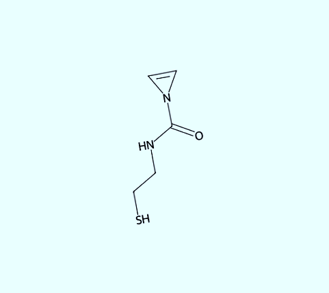 O=C(NCCS)N1C=C1